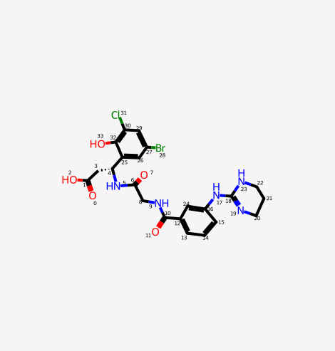 O=C(O)C[C@@H](NC(=O)CNC(=O)c1cccc(NC2=NCCCN2)c1)c1cc(Br)cc(Cl)c1O